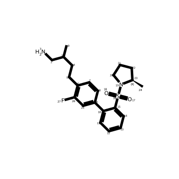 CC(CN)CCc1ccc(-c2ccccc2S(=O)(=O)N2CCC[C@H]2C)cc1F